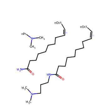 CCCCCCCC/C=C\CCCCCCCC(=O)NCCCN(C)C.CCCCCCCC/C=C\CCCCCCCC(N)=O.CCCN(C)C